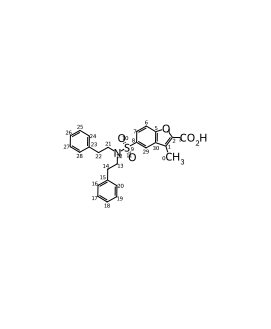 Cc1c(C(=O)O)oc2ccc(S(=O)(=O)N(CCc3ccccc3)CCc3ccccc3)cc12